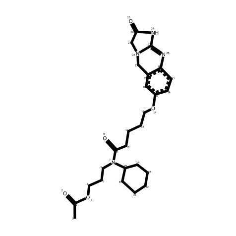 CC(=O)OCCCN(C(=O)CCCCOc1ccc2c(c1)CN1CC(=O)NC1=N2)C1CCCCC1